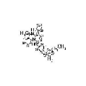 CCOC(=O)N=S(C)(=O)c1ccc(Nc2ncc(-c3cccs3)c(N[C@H](C)c3ccccc3)n2)cc1